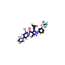 Cc1nn(-c2cccc(OC(F)(F)F)c2)c(C2CC2)c1C(=O)N1CC[C@@H](N2CCCC2)C[C@H]1C